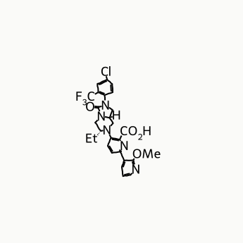 CC[C@@H]1CN2C(=O)N(c3ccc(Cl)cc3C(F)(F)F)C[C@@H]2CN1c1ccc(-c2cccnc2OC)nc1C(=O)O